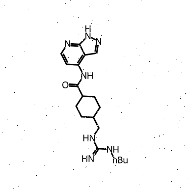 CCCCNC(=N)NCC1CCC(C(=O)Nc2ccnc3[nH]ncc23)CC1